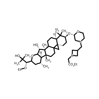 CCOC(=O)CN1CC(CN2CCO[C@@H](O[C@H]3CC[C@]45CC46CC[C@]4(C)[C@@H]7C(OC([C@H](OCC)C(C)(C)O)C[C@H]7C)[C@H](O)[C@@]4(C)C6CC[C@H]5C3(C)C)C2)C1